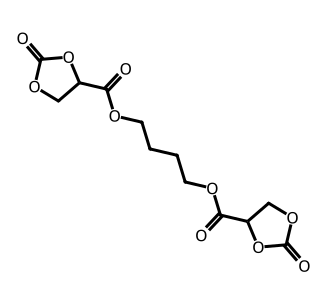 O=C1OCC(C(=O)OCCCCOC(=O)C2COC(=O)O2)O1